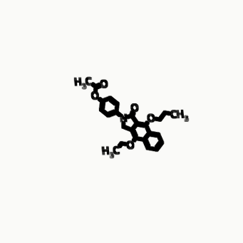 CCCOc1c2c(c(OCC)c3ccccc13)CN(c1ccc(OC(C)=O)cc1)C2=O